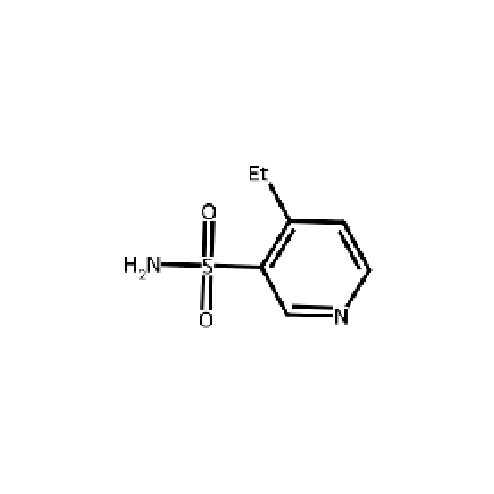 CCc1ccncc1S(N)(=O)=O